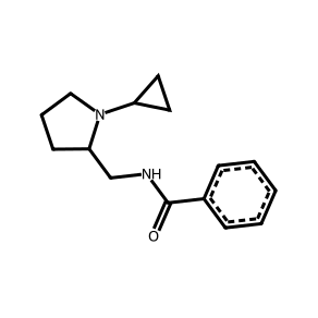 O=C(NCC1CCCN1C1CC1)c1ccccc1